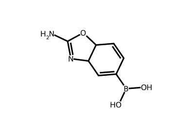 NC1=NC2C=C(B(O)O)C=CC2O1